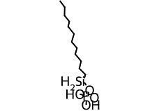 CCCCCCCCCCCC[SiH2]OP(=O)(O)O